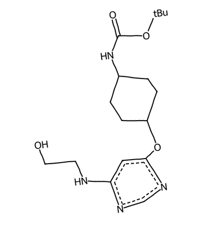 CC(C)(C)OC(=O)NC1CCC(Oc2cc(NCCO)ncn2)CC1